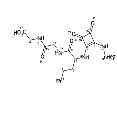 CCCCCCCNc1c(NC(CCC(C)C)C(=O)NCC(=O)NCC(=O)O)c(=O)c1=O